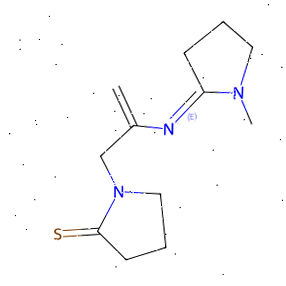 C=C(CN1CCCC1=S)/N=C1\CCCN1C